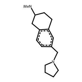 CNC1CCc2cc(CN3CCCC3)ccc2C1